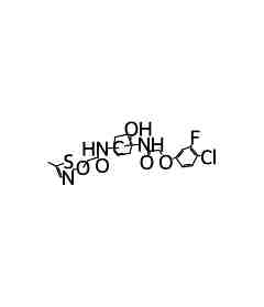 Cc1cnc(OCC(=O)NC23CCC(NC(=O)COc4ccc(Cl)c(F)c4)(CC2)C(O)C3)s1